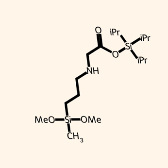 CO[Si](C)(CCCNCC(=O)O[Si](C(C)C)(C(C)C)C(C)C)OC